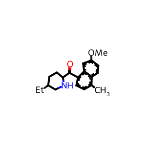 CCC1CCC(C(=O)c2ccc(C)c3ccc(OC)cc23)NC1